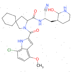 COc1ccc(Cl)c2[nH]c(C(=O)N3CC4(CCCCC4)CC3C(=O)N[C@H](C#N)C[C@@H]3CCCNC3O)cc12